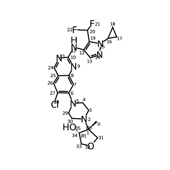 C[C@@]1(N2CCN(c3cc4nc(Nc5cnn(C6CC6)c5C(F)F)ncc4cc3Cl)CC2)COC[C@@H]1O